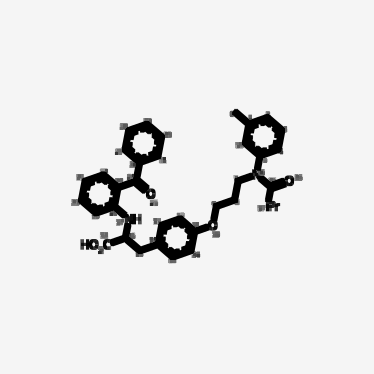 Cc1cccc(N(CCCOc2ccc(CC(Nc3ccccc3C(=O)c3ccccc3)C(=O)O)cc2)C(=O)C(C)C)c1